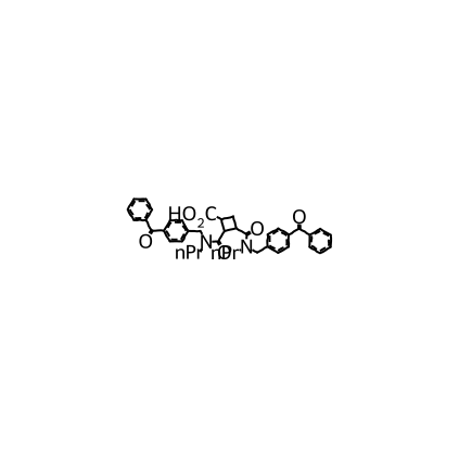 CCCN(Cc1ccc(C(=O)c2ccccc2)cc1)C(=O)C1CC(C(=O)O)C1C(=O)N(CCC)Cc1ccc(C(=O)c2ccccc2)cc1